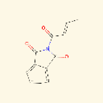 CC=CC(=O)N1C(=O)c2ccccc2C1=O